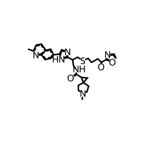 Cc1ccc2cc(-c3cnc(C(CNC(=O)C4CC45CCN(C)CC5)CSCCCC(=O)c4ncco4)[nH]3)ccc2n1